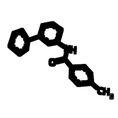 Cc1ccc(C(=O)Nc2cccc(-c3ccccc3)c2)cc1